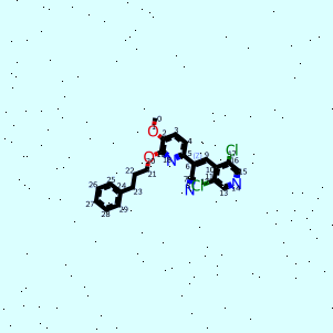 COc1ccc(/C(C#N)=C/c2c(Cl)cncc2Cl)nc1OCCCc1ccccc1